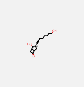 O=C1CC2C1C[C@H](C#CCCCCCCO)[C@H]2O